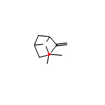 CC(C)N1C2CNC(=O)C1C2